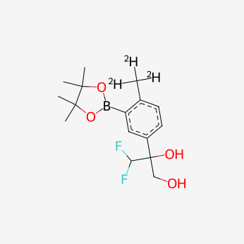 [2H]C([2H])([2H])c1ccc(C(O)(CO)C(F)F)cc1B1OC(C)(C)C(C)(C)O1